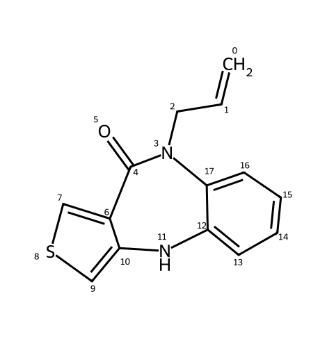 C=CCN1C(=O)c2cscc2Nc2ccccc21